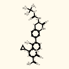 Cc1c(-c2ccc3c(c2)NC(=O)C(NC(=O)OC(C)(C)C)C3)ccn2c(=O)c(C(=O)O)cc(C3CC3)c12